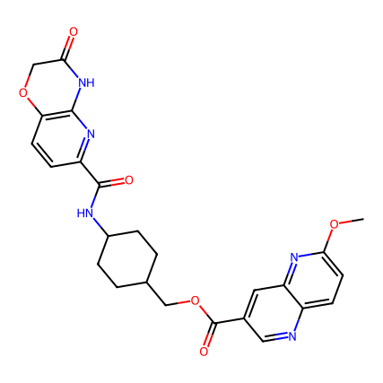 COc1ccc2ncc(C(=O)OCC3CCC(NC(=O)c4ccc5c(n4)NC(=O)CO5)CC3)cc2n1